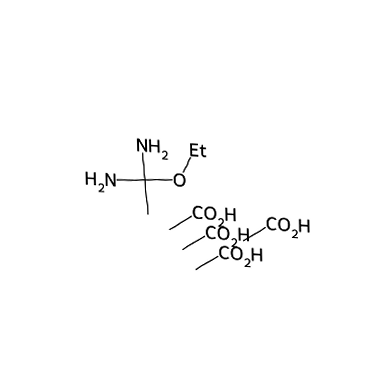 CC(=O)O.CC(=O)O.CC(=O)O.CC(=O)O.CCOC(C)(N)N